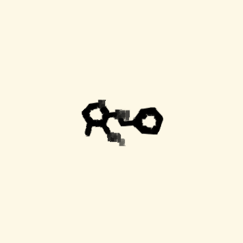 Cc1ccnc(NCc2ccccc2)c1N